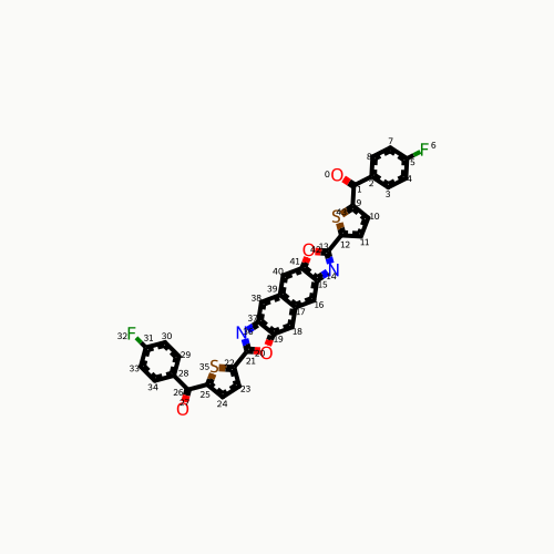 O=C(c1ccc(F)cc1)c1ccc(-c2nc3cc4cc5oc(-c6ccc(C(=O)c7ccc(F)cc7)s6)nc5cc4cc3o2)s1